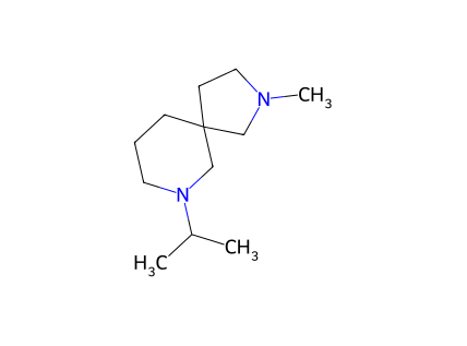 CC(C)N1CCCC2(CCN(C)C2)C1